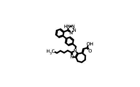 CCCCCc1nc2c(n1Cc1ccc(-c3ccccc3-c3nnn[nH]3)cc1)C(=CC(=O)O)CCCC2